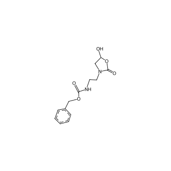 O=C(NCCN1CC(O)OC1=O)OCc1ccccc1